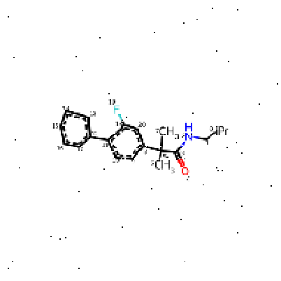 CC(C)CNC(=O)C(C)(C)c1ccc(-c2ccccc2)c(F)c1